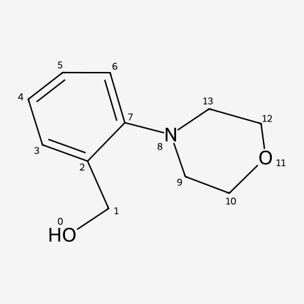 OCc1ccccc1N1CCOCC1